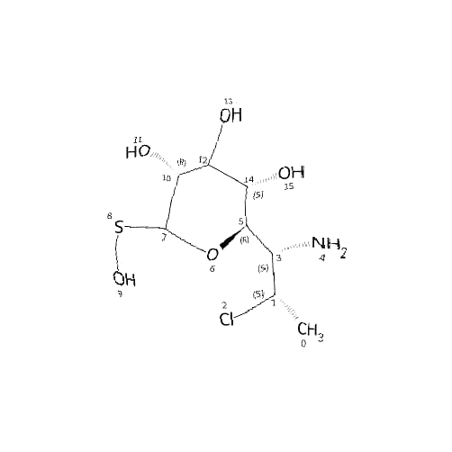 C[C@H](Cl)[C@@H](N)[C@H]1OC(SO)[C@H](O)C(O)[C@@H]1O